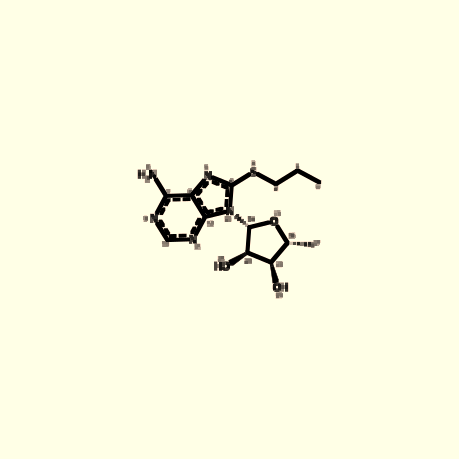 CCCSc1nc2c(N)ncnc2n1[C@@H]1O[C@H](C)[C@@H](O)[C@H]1O